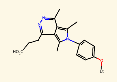 CCOc1ccc(-n2c(C)c3c(C)nnc(CCC(=O)O)c3c2C)cc1